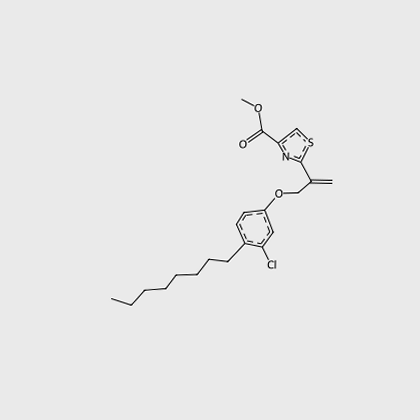 C=C(COc1ccc(CCCCCCCC)c(Cl)c1)c1nc(C(=O)OC)cs1